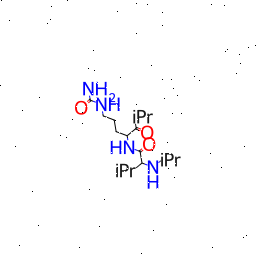 CC(C)NC(C(=O)NC(CCCNC(N)=O)C(=O)C(C)C)C(C)C